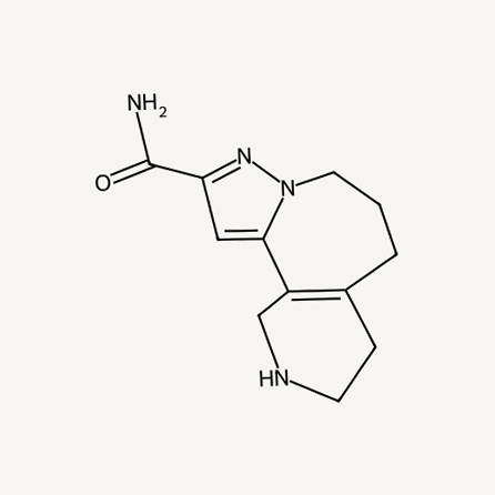 NC(=O)c1cc2n(n1)CCCC1=C2CNCC1